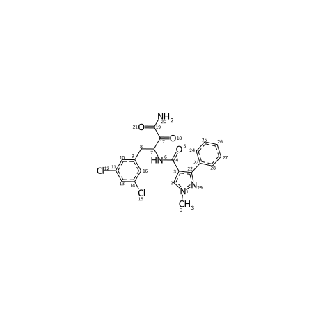 Cn1cc(C(=O)NC(Cc2cc(Cl)cc(Cl)c2)C(=O)C(N)=O)c(-c2ccccc2)n1